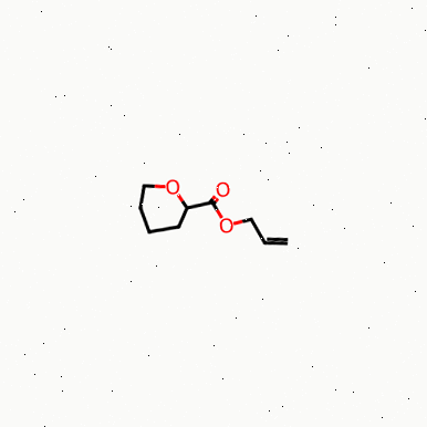 C=CCOC(=O)C1CCCCO1